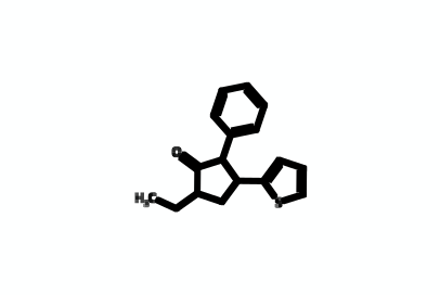 CCC1CC(c2cccs2)C(c2ccccc2)C1=O